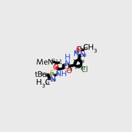 CNCCC[C@@H](CC(=O)Nc1nc(C)c(C(C)(C)C)s1)NC(=O)c1cc(Cl)cc(-c2noc(C)n2)c1